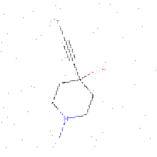 CC(C)C#CC1(O)CCN(C)CC1